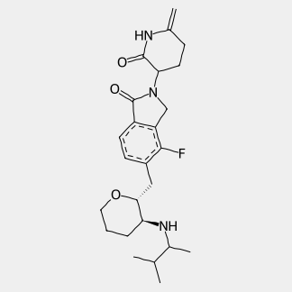 C=C1CCC(N2Cc3c(ccc(C[C@H]4OCCC[C@@H]4NC(C)C(C)C)c3F)C2=O)C(=O)N1